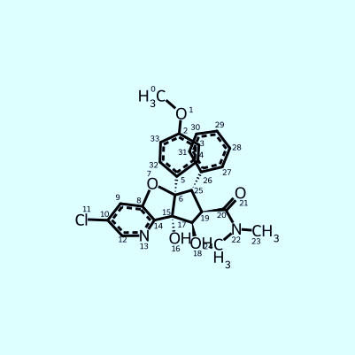 COc1ccc([C@@]23Oc4cc(Cl)cnc4[C@]2(O)[C@H](O)[C@H](C(=O)N(C)C)[C@H]3c2ccccc2)cc1